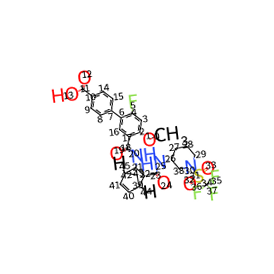 COc1cc(F)c(-c2ccc(C(=O)O)cc2)cc1C(=O)N[C@H]1[C@@H](C(=O)N[C@@H]2CCCN(S(=O)(=O)C(F)(F)F)C2)[C@@H]2C=C[C@H]1C2